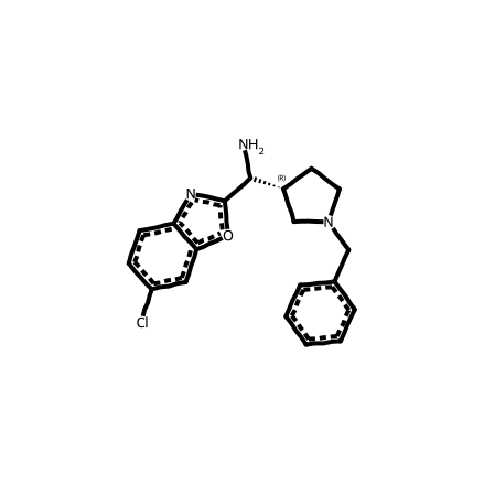 NC(c1nc2ccc(Cl)cc2o1)[C@@H]1CCN(Cc2ccccc2)C1